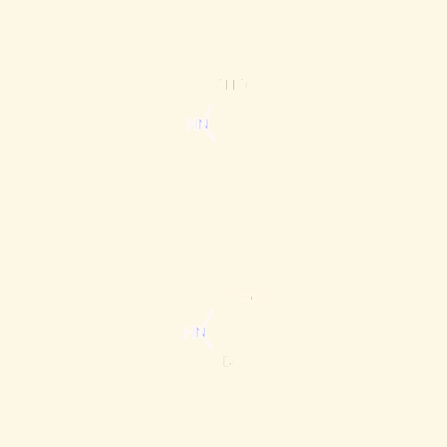 CCC(C)NC(=O)CCCCN[C]=O